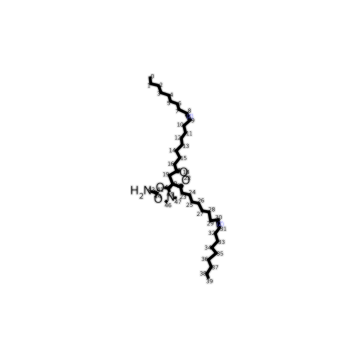 CCCCCCCC/C=C\CCCCCCCC(=O)CC(C(=O)CCCCCCC/C=C\CCCCCCCC)C(OC(N)=O)N(C)C